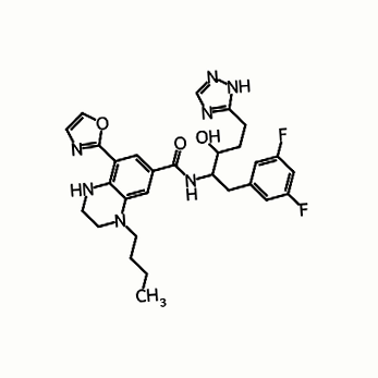 CCCCN1CCNc2c(-c3ncco3)cc(C(=O)NC(Cc3cc(F)cc(F)c3)C(O)CCc3ncn[nH]3)cc21